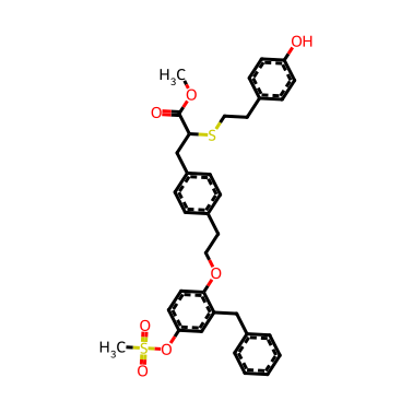 COC(=O)C(Cc1ccc(CCOc2ccc(OS(C)(=O)=O)cc2Cc2ccccc2)cc1)SCCc1ccc(O)cc1